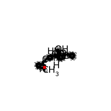 Cc1cc(CCOc2ccc(C(=O)NC3(CC(=O)NO)CCCN(C(=O)OCc4ccccc4)C3)cc2)c2ccccc2n1